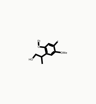 CCOc1cc(I)c(OC)cc1C(C)CO